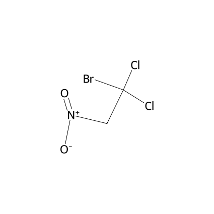 O=[N+]([O-])CC(Cl)(Cl)Br